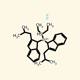 CC[SiH](CC)[Zr+2]([CH]1C(CC(C)C)=Cc2ccccc21)[CH]1C(CC(C)C)=Cc2ccccc21.[F-].[F-]